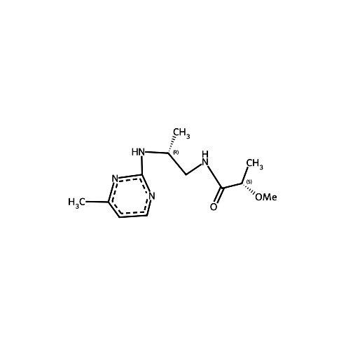 CO[C@@H](C)C(=O)NC[C@@H](C)Nc1nccc(C)n1